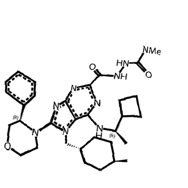 CNC(=O)NNC(=O)c1nc(N[C@H](C)C2CCC2)c2c(n1)nc(N1CCOC[C@H]1c1ccccc1)n2C[C@H]1CC[C@H](C)CC1